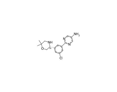 CC1(C)CN[C@H](c2cc(Cl)cc(-c3ncc(N)cn3)c2)CO1